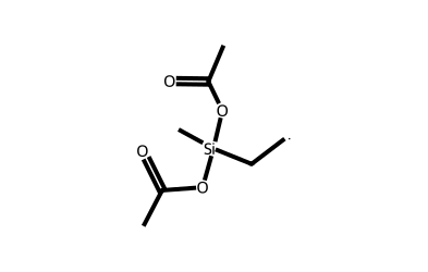 [CH2]C[Si](C)(OC(C)=O)OC(C)=O